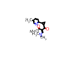 COC(=O)C(=CN(C)C)C(=O)C1CC1c1ccc(C)cn1